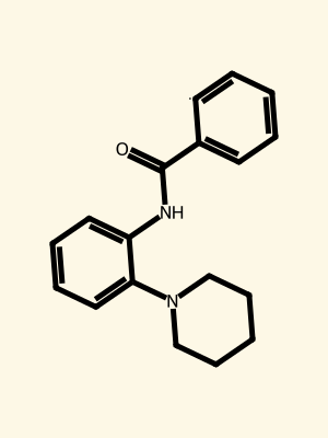 O=C(Nc1ccccc1N1CCCCC1)c1[c]cccc1